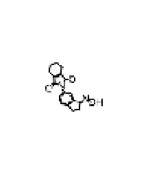 O=C1C2=C(CCCC2)C(=O)N1c1ccc2c(c1)C(=NO)CC2